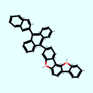 c1ccc2cc(-c3c4ccccc4c(-c4ccc5c(c4)oc4ccc6c7ccccc7oc6c45)c4ccccc34)ccc2c1